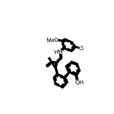 COc1ccc(Cl)cc1NCC1C(c2ccccc2-c2ccccc2O)C1(C)C